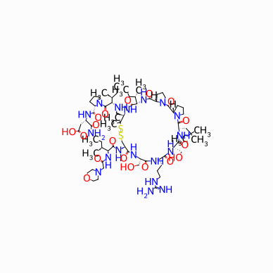 CC[C@H](C)[C@H](NC(=O)CN1CCOCC1)C(=O)N[C@H]1CSSC(C)(C)[C@@H](CN[C@H](C(=O)N2CCC[C@H]2C(=O)N[C@@H](CC(=O)O)C(N)=O)[C@@H](C)CC)NC(=O)[C@H]([C@@H](C)CC)NC(=O)[C@@H]2CCCN2C(=O)[C@@H]2CCCN2C(=O)[C@H](CC(C)(C)C)NC(=O)[C@H](CO)NC(=O)[C@H](CCCNC(=N)N)NC(=O)[C@H](CO)NC1=O